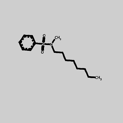 CCCCCCCCN(C)S(=O)(=O)c1cc[c]cc1